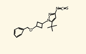 CC(C)(C)c1cc(N=C=S)nn1C1CC(OCc2ccccc2)C1